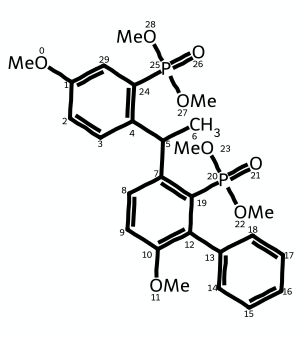 COc1ccc(C(C)c2ccc(OC)c(-c3ccccc3)c2P(=O)(OC)OC)c(P(=O)(OC)OC)c1